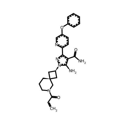 C=CC(=O)N1CCC[C@]2(C1)C[C@H](n1nc(-c3ccc(Oc4ccccc4)cn3)c(C(N)=O)c1N)C2